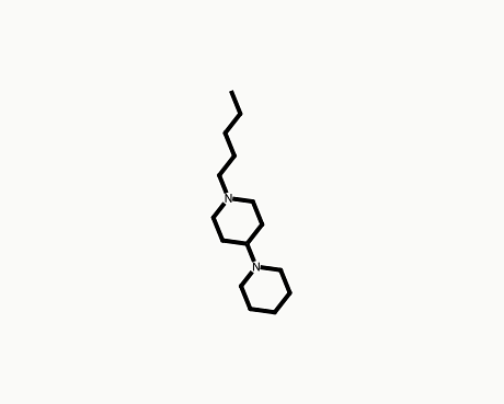 CCCCCN1CCC(N2CCCCC2)CC1